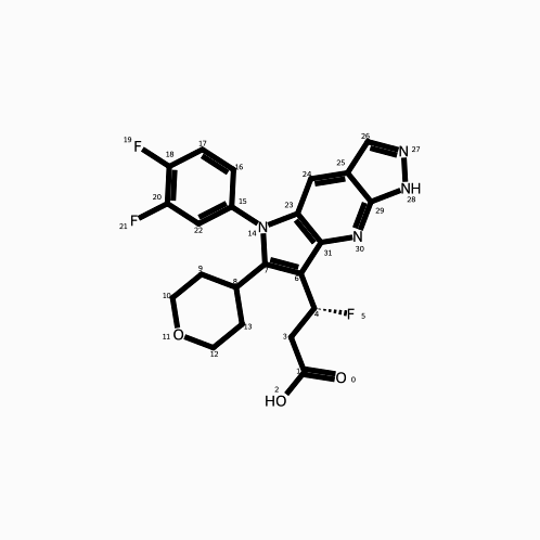 O=C(O)C[C@@H](F)c1c(C2CCOCC2)n(-c2ccc(F)c(F)c2)c2cc3cn[nH]c3nc12